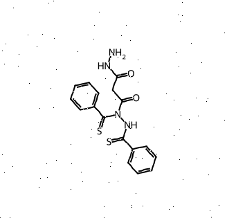 NNC(=O)CC(=O)N(NC(=S)c1ccccc1)C(=S)c1ccccc1